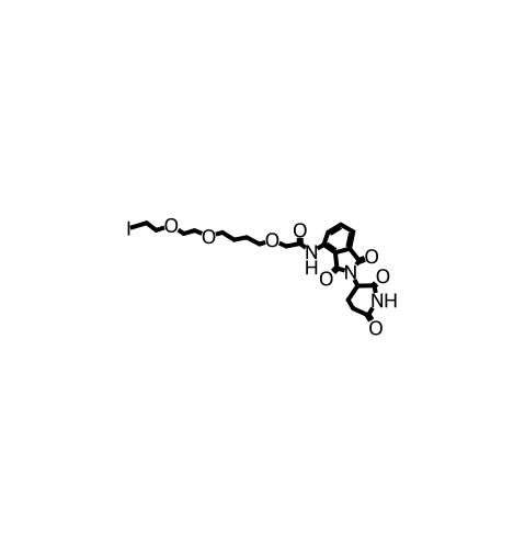 O=C1CCC(N2C(=O)c3cccc(NC(=O)COCCCCOCCOCCI)c3C2=O)C(=O)N1